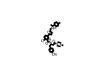 Cc1ccc(C(C)NCc2ccc(-c3ccc(Cl)c(C(=O)NC(CC(=O)N4CCN(C)CC4)Cc4ccc(C#N)cc4)c3)o2)cc1